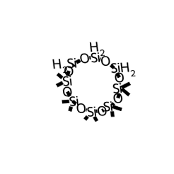 C[Si]1(C)O[SiH2]O[SiH2]O[SiH2]O[Si](C)(C)O[Si](C)(C)O[Si](C)(C)O[Si](C)(C)O1